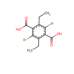 CCc1c(Br)c(C(=O)O)c(CC)c(Br)c1C(=O)O